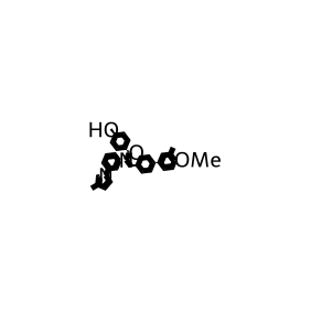 COc1ccc([C@H]2CC[C@H](CN(c3cccc(-n4ccc(C)c4)c3)C(=O)[C@H]3CC[C@H](O)CC3)CC2)cc1C